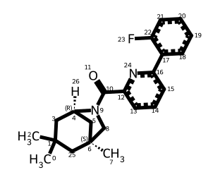 CC1(C)C[C@@H]2C[C@@](C)(CN2C(=O)c2cccc(-c3ccccc3F)n2)C1